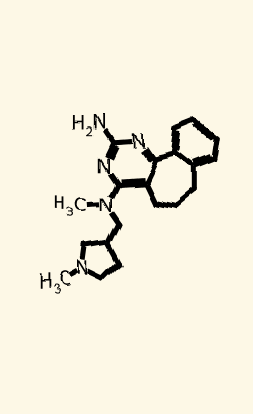 CN1CCC(CN(C)c2nc(N)nc3c2CCCc2ccccc2-3)C1